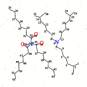 CC(C)CCCCCN(CCCCCC(C)C)CCCCCC(C)C.CCCCCCCC(=O)N(C(=O)CCCCCCC)C(=O)CCCCCCC